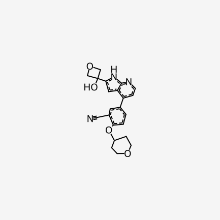 N#Cc1cc(-c2ccnc3[nH]c(C4(O)COC4)cc23)ccc1OC1CCOCC1